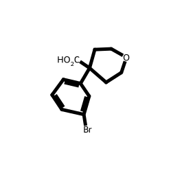 O=C(O)C1(c2cccc(Br)c2)CCOCC1